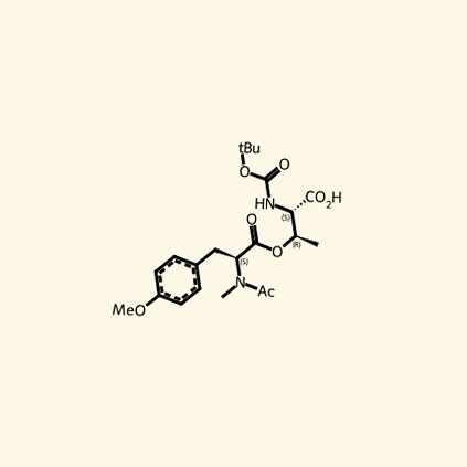 COc1ccc(C[C@@H](C(=O)O[C@H](C)[C@H](NC(=O)OC(C)(C)C)C(=O)O)N(C)C(C)=O)cc1